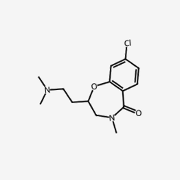 CN(C)CCC1CN(C)C(=O)c2ccc(Cl)cc2O1